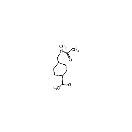 CC(=O)N(C)CC1CCC(C(=O)O)CC1